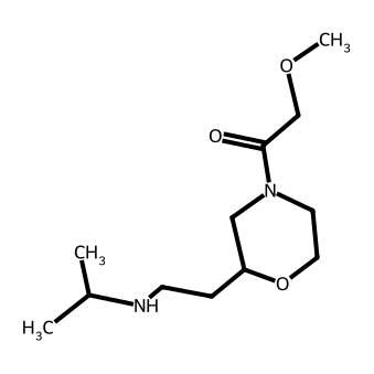 COCC(=O)N1CCOC(CCNC(C)C)C1